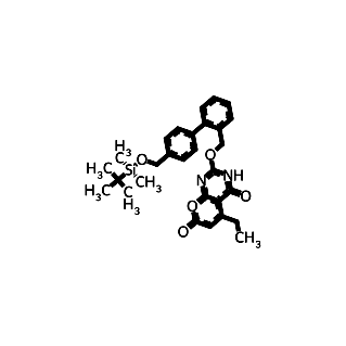 CCc1cc(=O)oc2nc(OCc3ccccc3-c3ccc(CO[Si](C)(C)C(C)(C)C)cc3)[nH]c(=O)c12